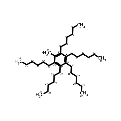 [CH2]c1c(CCCCCC)c(CCCCCC)c(CCCCCC)c(CCCCCC)c1CCCCCC